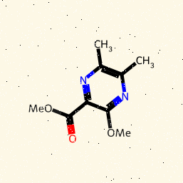 COC(=O)c1nc(C)c(C)nc1OC